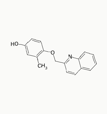 Cc1cc(O)ccc1OCc1ccc2ccccc2n1